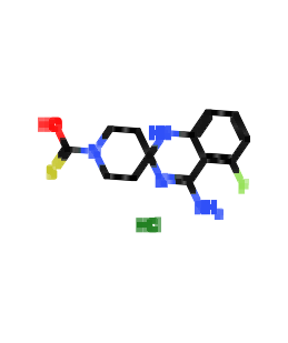 Cl.NC1=NC2(CCN(C(O)=S)CC2)Nc2cccc(F)c21